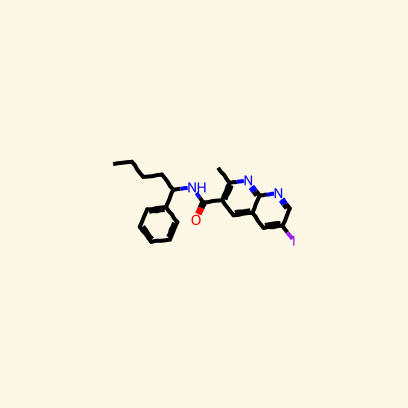 CCCCC(NC(=O)c1cc2cc(I)cnc2nc1C)c1ccccc1